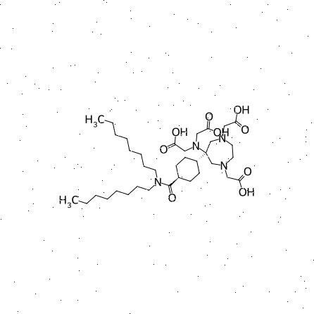 CCCCCCCCN(CCCCCCCC)C(=O)[C@H]1CC[C@H](C2(N(CC(=O)O)CC(=O)O)CN(CC(=O)O)CCN(CC(=O)O)C2)CC1